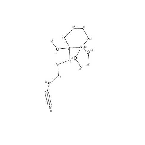 COC1(CCCSC#N)CCCC[Si]1(OC)OC